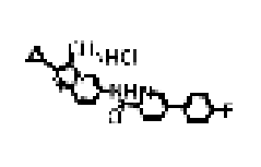 Cc1c(C2CC2)nc2ccc(NC(=O)c3ccc(-c4ccc(F)cc4)cn3)cn12.Cl